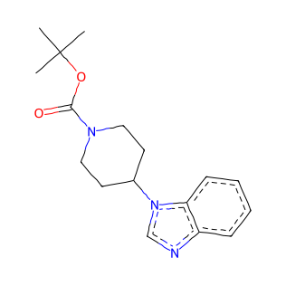 CC(C)(C)OC(=O)N1CCC(n2cnc3ccccc32)CC1